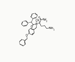 C[N@+](Cc1ccc(OCc2ccccc2)cc1)(C(=O)C(c1ccccc1)c1ccccc1)C(CCCN)C(N)=O